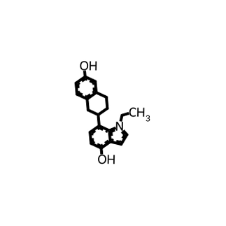 CCn1ccc2c(O)ccc(C3CCc4cc(O)ccc4C3)c21